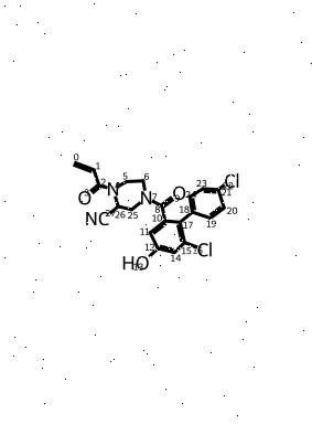 C=CC(=O)N1CCN(C(=O)c2cc(O)cc(Cl)c2-c2ccc(Cl)cc2)CC1C#N